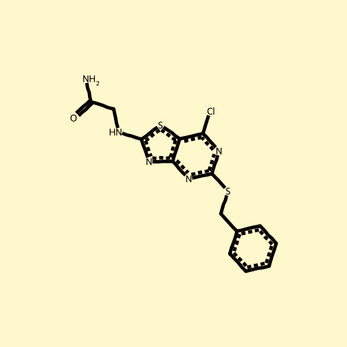 NC(=O)CNc1nc2nc(SCc3ccccc3)nc(Cl)c2s1